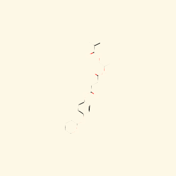 C=C(C)C(=O)OCC(C)OC(=O)CCC(=O)Oc1ccc(OC2CCCCO2)cc1